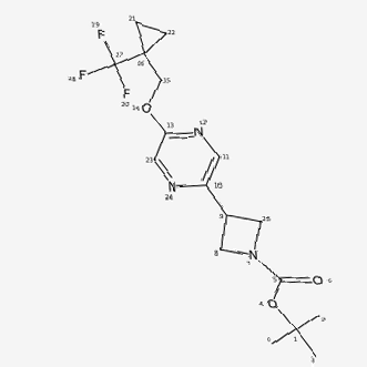 CC(C)(C)OC(=O)N1CC(c2cnc(OCC3(C(F)(F)F)CC3)cn2)C1